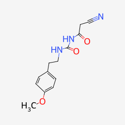 COc1ccc(CCNC(=O)NC(=O)CC#N)cc1